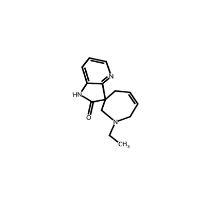 CCN1CC=CCC2(C1)C(=O)Nc1cccnc12